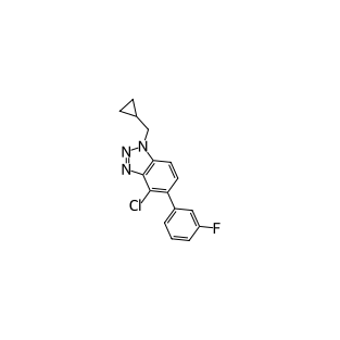 Fc1cccc(-c2ccc3c(nnn3CC3CC3)c2Cl)c1